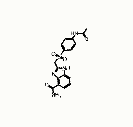 CC(=O)Nc1ccc(S(=O)(=O)Cc2nc3c(C(N)=O)cccc3[nH]2)cc1